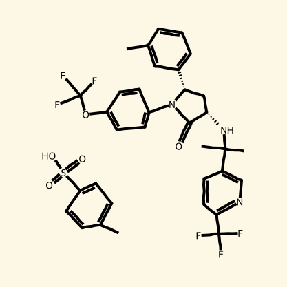 Cc1ccc(S(=O)(=O)O)cc1.Cc1cccc([C@@H]2C[C@H](NC(C)(C)c3ccc(C(F)(F)F)nc3)C(=O)N2c2ccc(OC(F)(F)F)cc2)c1